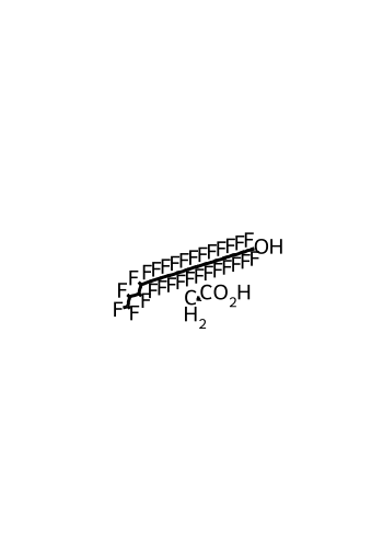 C=CC(=O)O.OC(F)(F)C(F)(F)C(F)(F)C(F)(F)C(F)(F)C(F)(F)C(F)(F)C(F)(F)C(F)(F)C(F)(F)C(F)(F)C(F)(F)C(F)C(F)C(F)C(F)F